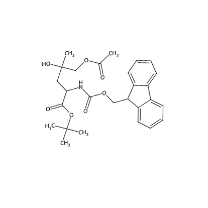 CC(=O)OCC(C)(O)CC(NC(=O)OCC1c2ccccc2-c2ccccc21)C(=O)OC(C)(C)C